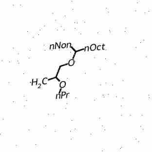 [CH2]C(COC(CCCCCCCC)CCCCCCCCC)OC[CH]C